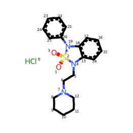 Cl.O=S1(=O)N(CCN2CCCCC2)c2ccccc2N1c1ccccc1